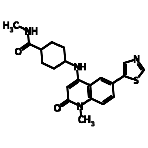 CNC(=O)C1CCC(Nc2cc(=O)n(C)c3ccc(-c4cncs4)cc23)CC1